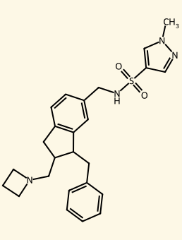 Cn1cc(S(=O)(=O)NCc2ccc3c(c2)C(Cc2ccccc2)C(CN2CCC2)C3)cn1